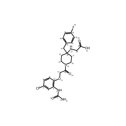 NC(=O)Nc1cc(Cl)ccc1OCC(=O)N1CCC(Cc2ccc(F)cc2)(NCC(=O)O)CC1